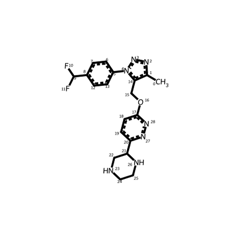 Cc1nnn(-c2ccc(C(F)F)cc2)c1COc1ccc(C2CNCCN2)nn1